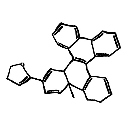 CC12C=CC(C3=CCCO3)=CC1c1c(c3ccccc3c3ccccc13)C1=C2CCC=C1